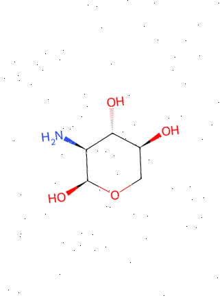 N[C@H]1[C@H](O)[C@@H](O)CO[C@H]1O